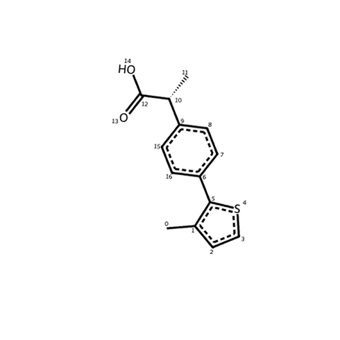 Cc1ccsc1-c1ccc([C@@H](C)C(=O)O)cc1